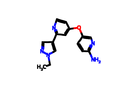 CCn1cc(-c2cc(Oc3ccc(N)nc3)ccn2)cn1